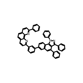 c1ccc(-c2ccc3ccc4ccc(-c5cccc(-c6ccc7c(c6)cc(-c6ccccc6)c6c(-c8ccccc8)nn(-c8ccccc8)c67)c5)nc4c3n2)cc1